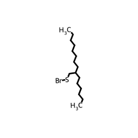 CCCCCCCCC(CCCCCC)CSBr